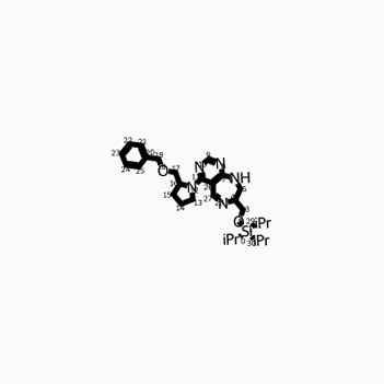 CC(C)[Si](OCC1CNc2ncnc(N3CCCC3COCc3ccccc3)c2C=N1)(C(C)C)C(C)C